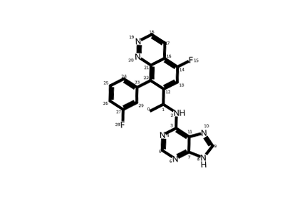 CC(Nc1ncnc2[nH]cnc12)c1cc(F)c2ccnnc2c1-c1cccc(F)c1